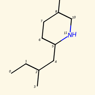 CCC(C)CC1CCC(C)CN1